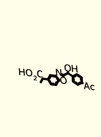 CC(=O)c1ccc(C(O)c2nc3cc(C(C)C(=O)O)ccc3o2)cc1